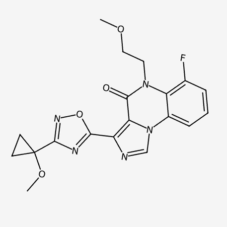 COCCn1c(=O)c2c(-c3nc(C4(OC)CC4)no3)ncn2c2cccc(F)c21